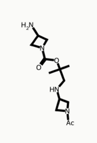 CC(=O)N1CC(NCC(C)(C)OC(=O)N2CC(N)C2)C1